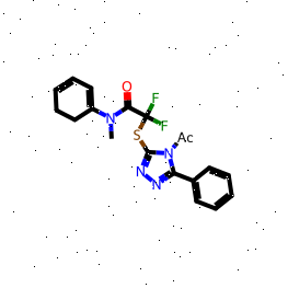 CC(=O)n1c(SC(F)(F)C(=O)N(C)C2=CC=CCC2)nnc1-c1ccccc1